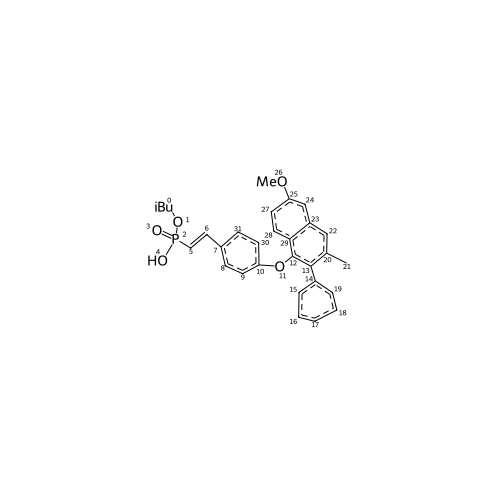 CCC(C)OP(=O)(O)C=Cc1ccc(Oc2c(-c3ccccc3)c(C)cc3cc(OC)ccc23)cc1